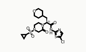 O=C(Nc1ncc(Cl)s1)[C@H](CC1CCOCC1)N1CCN(S(=O)(=O)C2CC2)CC1=O